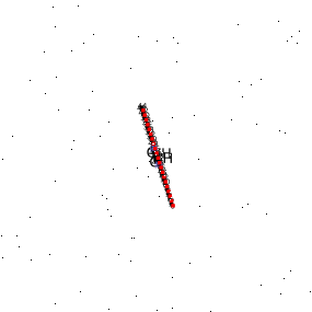 CCCCCCCCCCCCCCCCC/C=C/C(=O)NCNC(=O)/C=C/CCCCCCCCCCCCCCCCC